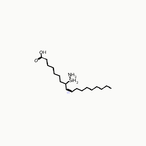 CCCCCCCC/C=C\C(CCCCCCC(=O)O)[SiH2]N